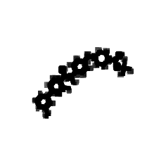 Cc1nc(-c2cccc(F)c2)ccc1C(=O)N(C)c1ccc(CN2CCN(C(=O)OC(C)(C)C)CC2)cc1